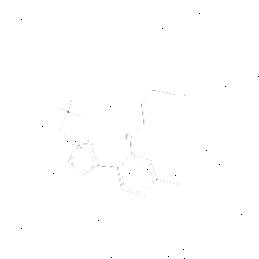 C[C@H](O)CCNc1cc(Cl)ncc1-c1ccn(CC(F)(F)F)n1